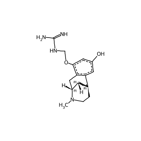 CN1CC[C@]23CCCC[C@H]2[C@H]1Cc1c(OCNC(=N)N)cc(O)cc13